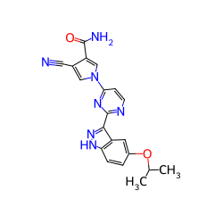 CC(C)Oc1ccc2[nH]nc(-c3nccc(-n4cc(C#N)c(C(N)=O)c4)n3)c2c1